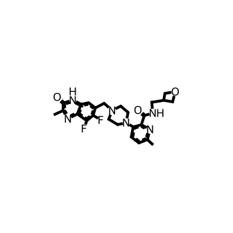 Cc1ccc(N2CCN(Cc3cc4[nH]c(=O)c(C)nc4c(F)c3F)CC2)c(C(=O)NCC2COC2)n1